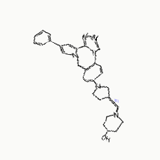 OC1CCN(/C=C2\CCN(c3ccc4c(c3)Cn3cc(-c5ccccc5)cc3-c3nncn3-4)C2)CC1